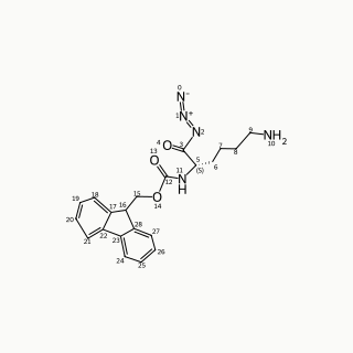 [N-]=[N+]=NC(=O)[C@H](CCCCN)NC(=O)OCC1c2ccccc2-c2ccccc21